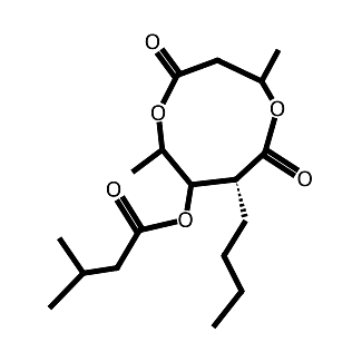 CCCC[C@H]1C(=O)OC(C)CC(=O)OC(C)C1OC(=O)CC(C)C